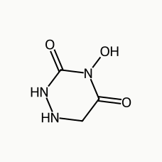 O=C1CNNC(=O)N1O